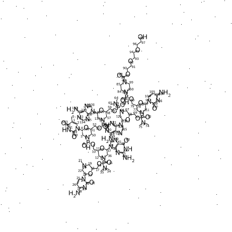 Cc1cn(C2CN([PH](=O)OCC3CN(P(=O)(OCC4CN(C)CC(n5ccc(N)nc5=O)O4)N(C)C)CC(n4cnc5c(=O)[nH]c(N)nc54)O3)CC(CO[PH](=O)N3CC(COP(=O)(N(C)C)N4CC(COP(=O)(N(C)C)N5CC(CO[PH](=O)N6CCN(C(=O)OCCOCCOCCO)CC6)OC(n6ccc(N)nc6=O)C5)OC(n5cnc6c(N)ncnc65)C4)OC(n4cnc5c(N)ncnc54)C3)O2)c(=O)[nH]c1=O